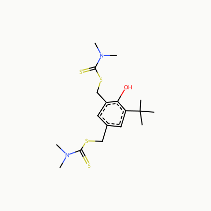 CN(C)C(=S)SCc1cc(CSC(=S)N(C)C)c(O)c(C(C)(C)C)c1